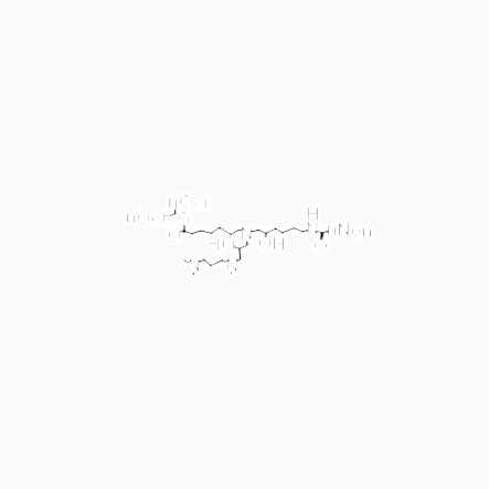 CCCCCCCCCC(=O)NCCCCC(O)CN(CCCCCCC(=O)OC(CCCCCCCC)CCCCCCCC)CC(O)CN(C)CCCN(C)C